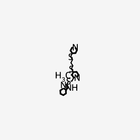 Cc1c(SCCCSc2ccncc2)ccnc1CSc1nc2ccccc2[nH]1